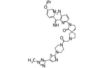 CC(C)Oc1ccc(C(=N)c2nc(N3CC[C@]4(CCN(CC(=O)N5CCN(c6ncc(-c7ncn(C)n7)s6)CC5)C4)C3=O)ccc2N)cc1